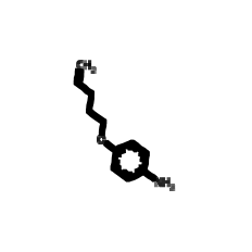 C=CCCCOc1ccc(N)cc1